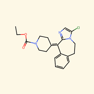 CCOC(=O)N1CCC(=C2c3ccccc3CCn3c(Cl)cnc32)CC1